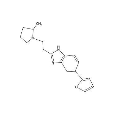 CC1CCCN1CCc1nc2cc(-c3ccco3)ccc2[nH]1